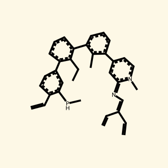 C=CC(C=C)=C/N=c1/cc(-c2cccc(-c3cccc(-c4ccc(C=C)c(PC)c4)c3CC)c2C)ccn1C